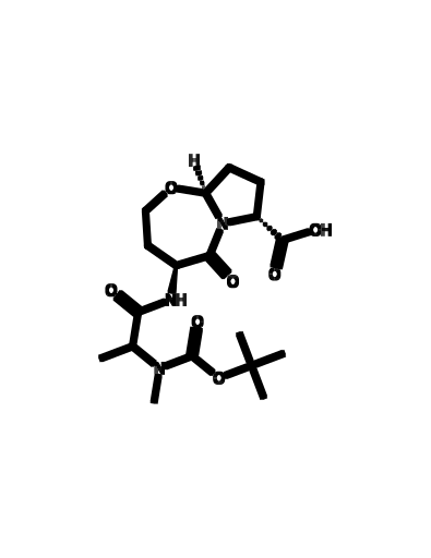 CC(C(=O)N[C@H]1CCO[C@H]2CC[C@H](C(=O)O)N2C1=O)N(C)C(=O)OC(C)(C)C